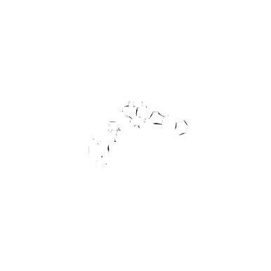 CC1(/C=C(\C#N)C(=O)N2CCC[C@H]2Cn2c(=O)n(-c3ccc(Oc4ccccc4)cc3)c3c(N)ncnc32)COC1